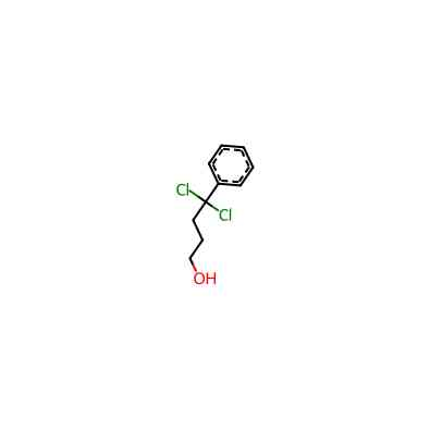 OCCCC(Cl)(Cl)c1ccccc1